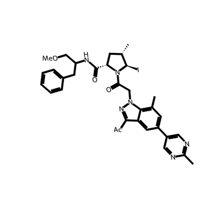 COCC(Cc1ccccc1)NC(=O)[C@@H]1C[C@H](C)[C@@H](I)N1C(=O)Cn1nc(C(C)=O)c2cc(-c3cnc(C)nc3)cc(C)c21